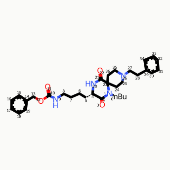 CCCCN1C(=O)[C@H](CCCCNC(=O)OCc2ccccc2)NC(=O)C12CCN(CCc1ccccc1)CC2